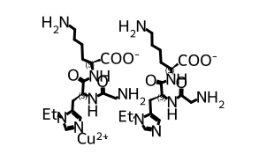 CCn1cncc1C[C@H](NC(=O)CN)C(=O)N[C@@H](CCCCN)C(=O)[O-].CCn1cncc1C[C@H](NC(=O)CN)C(=O)N[C@@H](CCCCN)C(=O)[O-].[Cu+2]